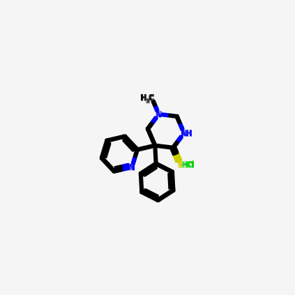 CN1CNC(=S)C(c2ccccc2)(c2ccccn2)C1.Cl